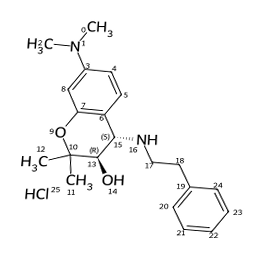 CN(C)c1ccc2c(c1)OC(C)(C)[C@H](O)[C@H]2NCCc1ccccc1.Cl